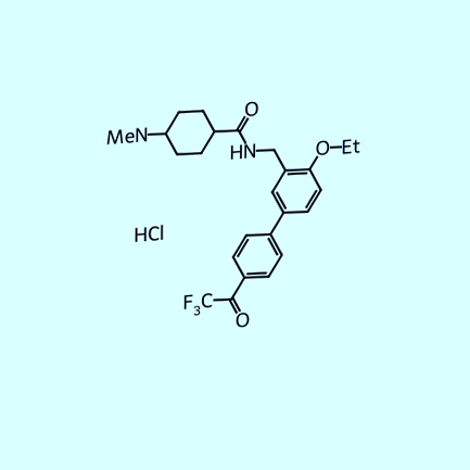 CCOc1ccc(-c2ccc(C(=O)C(F)(F)F)cc2)cc1CNC(=O)C1CCC(NC)CC1.Cl